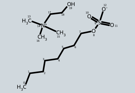 CCCCCCCCOS(=O)(=O)[O-].C[N+](C)(C)CCO